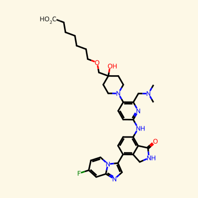 CN(C)Cc1nc(Nc2ccc(-c3cnc4cc(F)ccn34)c3c2C(=O)NC3)ccc1N1CCC(O)(COCCCCCCC(=O)O)CC1